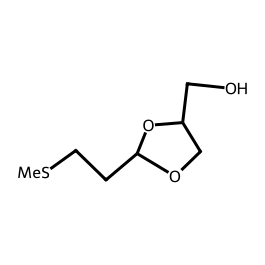 CSCCC1OCC(CO)O1